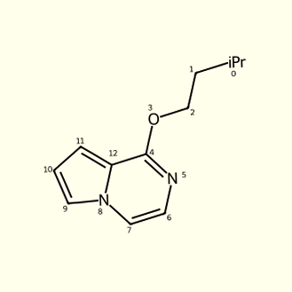 CC(C)CCOc1nccn2cccc12